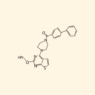 CCCOc1nc(N2CCN(C(=O)c3ccc(-c4ccccc4)cc3)CC2)c2ccsc2n1